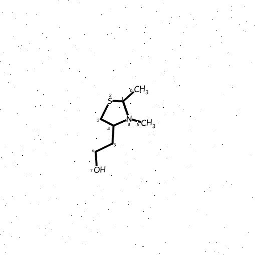 CC1SCC(CCO)N1C